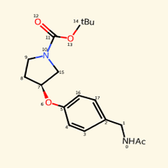 CC(=O)NCc1ccc(O[C@H]2CCN(C(=O)OC(C)(C)C)C2)cc1